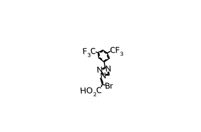 O=C(O)/C(Br)=C/n1cnc(-c2cc(C(F)(F)F)cc(C(F)(F)F)c2)n1